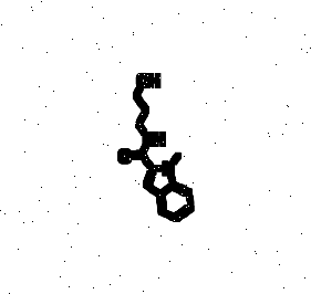 Cn1c(C(=O)NCCCO)cc2ccccc21